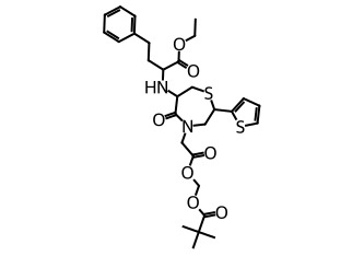 CCOC(=O)C(CCc1ccccc1)NC1CSC(c2cccs2)CN(CC(=O)OCOC(=O)C(C)(C)C)C1=O